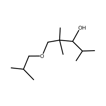 CC(C)COCC(C)(C)C(O)C(C)C